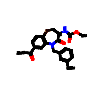 COC(=O)c1ccc2c(c1)N(Cc1cccc(OC)c1)C(=O)[C@@H](NC(=O)OC(C)(C)C)CS2